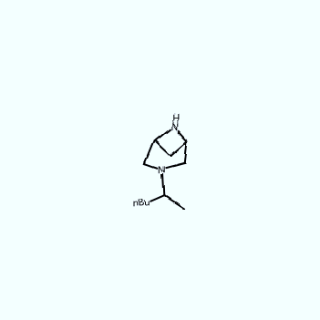 CCCCC(C)N1CC2CC(C1)N2